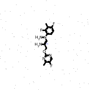 Cc1nc(OC/C(N)=C/N(N)c2ccc(F)c(C)c2F)ncc1F